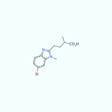 CC(CCc1nc2ccc(Br)cc2n1C)C(=O)O